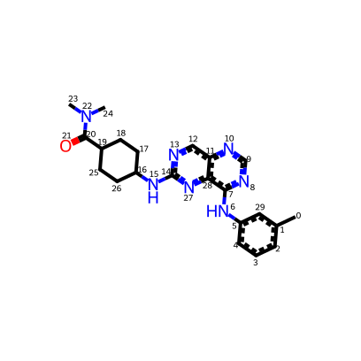 Cc1cccc(Nc2ncnc3cnc(NC4CCC(C(=O)N(C)C)CC4)nc23)c1